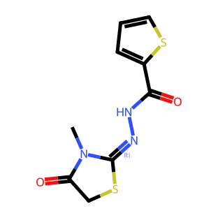 CN1C(=O)CS/C1=N/NC(=O)c1cccs1